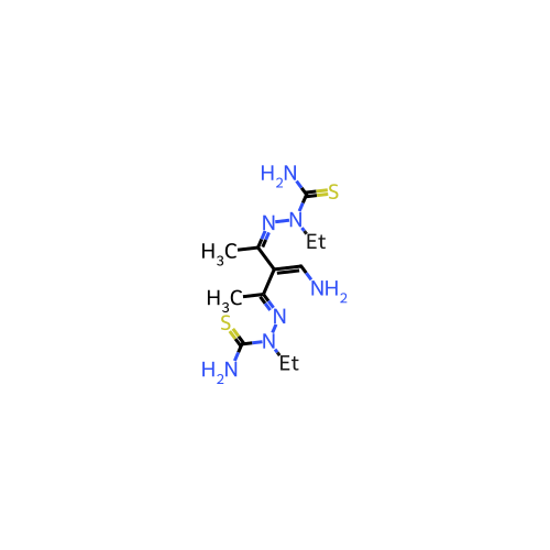 CCN(N=C(C)C(=CN)C(C)=NN(CC)C(N)=S)C(N)=S